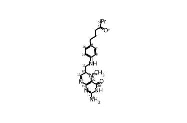 CC(C)C(=O)CCCc1ccc(NCC2C=Nc3nc(N)[nH]c(=O)c3N2C)cc1